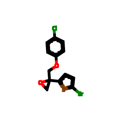 Clc1ccc(OCC2(c3ccc(Br)s3)CO2)cc1